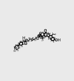 CCc1c2c(nc3ccc(O)cc13)-c1cc3c(c(=O)n1C2)COC(=O)[C@@]3(CC)OC(=O)OCCSSCCOC(=O)Nc1ccc(N2CCN(C)CC2)cc1